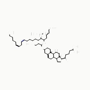 CCCCC/C=C\C/C=C\CCCCCC(C(CCCCO)OC(CCC)OC1CC[C@@]2(C)C(=CCC3C2CC[C@@]2(C)C3CC[C@@H]2[C@H](C)CCCC(C)C)C1)N(C)C